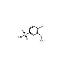 COc1cc(S(=O)(=O)O)ccc1[O]